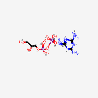 Nc1nc(N)nc(N)n1.O=P(O)(O)OP(=O)(O)OCC(O)CO